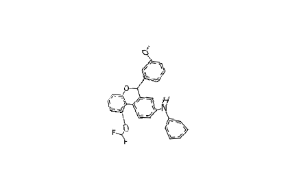 COc1cccc(C2Oc3cccc(OC(F)F)c3-c3ccc(Nc4ccccc4)cc32)c1